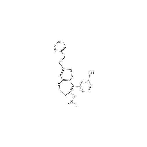 CN(C)CC1=C(c2cccc(O)c2)c2ccc(OCc3ccccc3)cc2OCC1